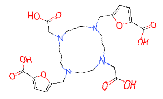 O=C(O)CN1CCN(Cc2ccc(C(=O)O)o2)CCN(CC(=O)O)CCN(Cc2ccc(C(=O)O)o2)CC1